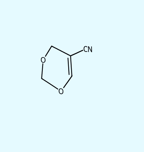 N#CC1=COCOC1